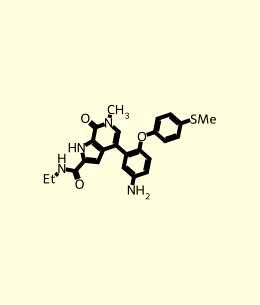 CCNC(=O)c1cc2c(-c3cc(N)ccc3Oc3ccc(SC)cc3)cn(C)c(=O)c2[nH]1